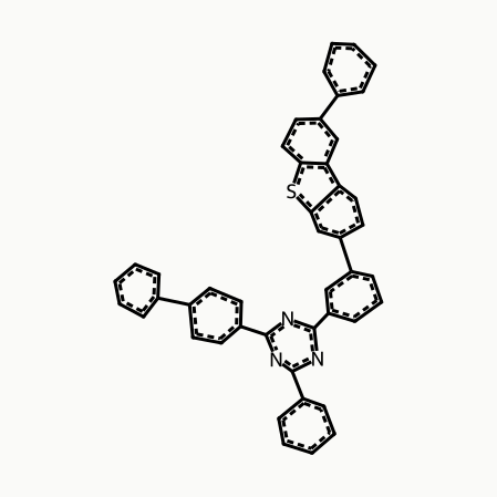 c1ccc(-c2ccc(-c3nc(-c4ccccc4)nc(-c4cccc(-c5ccc6c(c5)sc5ccc(-c7ccccc7)cc56)c4)n3)cc2)cc1